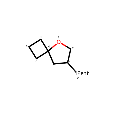 CCCC(C)C1COC2(CCC2)C1